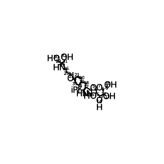 CC(C)c1[nH]nc(O[C@@H]2O[C@H](CO)[C@@H](O)[C@H](O)[C@H]2O)c1Cc1ccc(OCCCNC(CO)CO)cc1